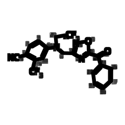 N#Cc1ccc(N(Cc2noc(C(=O)c3ccccc3)n2)CC(F)(F)F)cc1C(F)(F)F